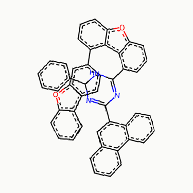 c1ccc(C2N=C(c3cc4ccccc4c4ccccc34)N=C(c3cccc4oc5cccc(-c6ccc7c(c6)oc6ccccc67)c5c34)N2)cc1